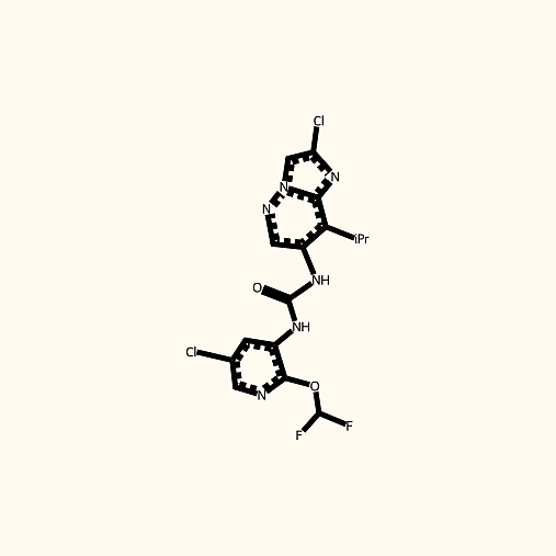 CC(C)c1c(NC(=O)Nc2cc(Cl)cnc2OC(F)F)cnn2cc(Cl)nc12